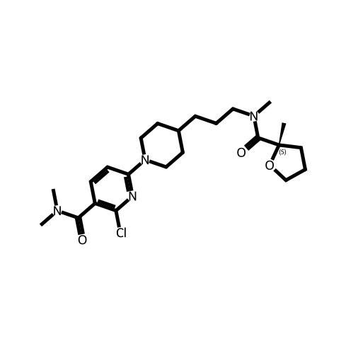 CN(C)C(=O)c1ccc(N2CCC(CCCN(C)C(=O)[C@]3(C)CCCO3)CC2)nc1Cl